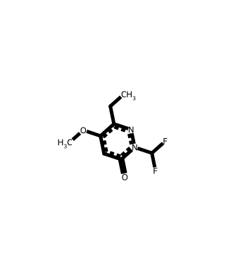 CCc1nn(C(F)F)c(=O)cc1OC